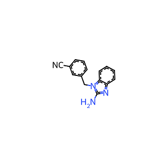 N#Cc1cccc(Cn2c(N)nc3ccccc32)c1